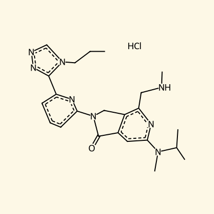 CCCn1cnnc1-c1cccc(N2Cc3c(cc(N(C)C(C)C)nc3CNC)C2=O)n1.Cl